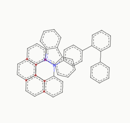 c1ccc(-c2ccccc2-c2ccc(N(c3ccccc3-c3ccccc3)c3ccccc3-c3ccccc3-n3c4ccccc4c4ccccc43)cc2)cc1